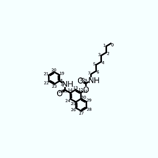 CCCCCCCCNC(=O)Oc1cc(C(=O)Nc2ccccc2)cc2ccccc12